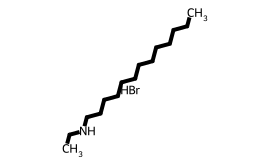 Br.CCCCCCCCCCCCCNCC